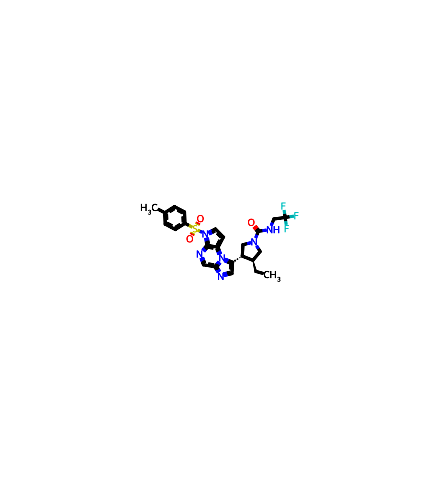 CC[C@@H]1CN(C(=O)NCC(F)(F)F)C[C@H]1c1cnc2cnc3c(ccn3S(=O)(=O)c3ccc(C)cc3)n12